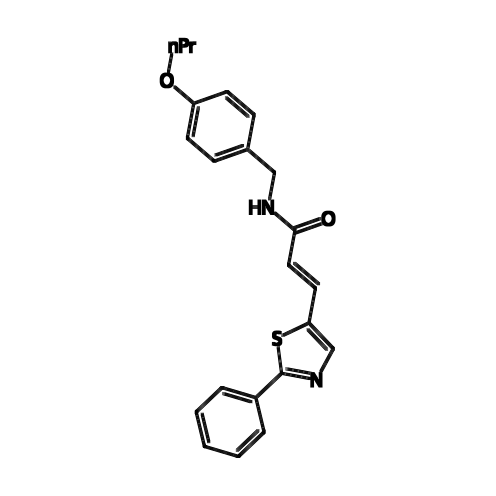 CCCOc1ccc(CNC(=O)/C=C/c2cnc(-c3ccccc3)s2)cc1